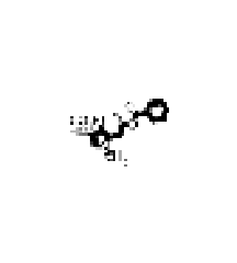 CCOC(=O)c1c(O)cn(C)c1CC(=O)OC(=O)c1ccccc1